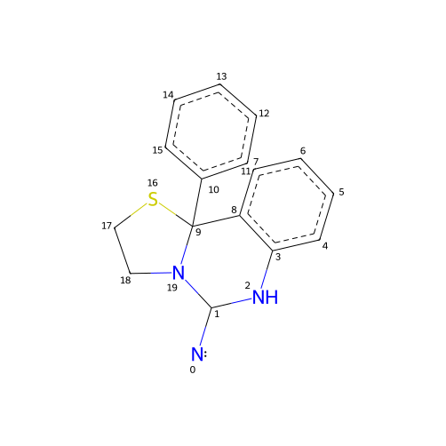 [N]C1Nc2ccccc2C2(c3ccccc3)SCCN12